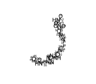 O=C1CC[C@H](N2C(=O)c3ccc(N4CCN(CCCC5CCN(c6ccc(Nc7ncnc8c7ncn8C7CC(NC(=O)Cc8ccccc8)C7)cc6)CC5)CC4)cc3C2=O)C(=O)N1